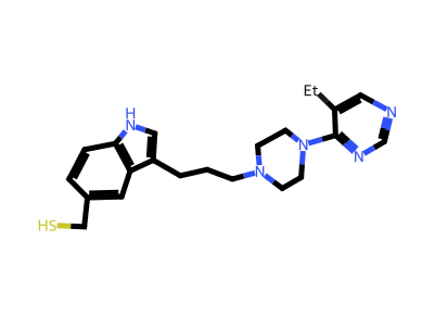 CCc1cncnc1N1CCN(CCCc2c[nH]c3ccc(CS)cc23)CC1